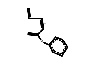 C=C/C=C\C(=C)Sc1ccccc1